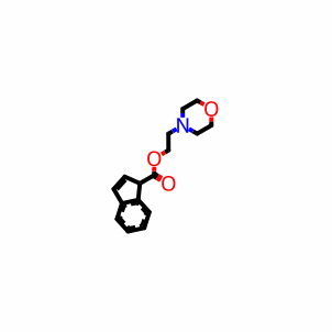 O=C(OCCN1CCOCC1)C1C=Cc2ccccc21